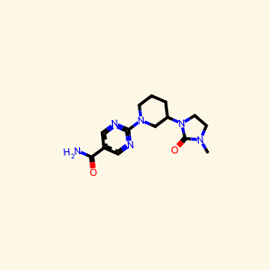 CN1CCN(C2CCCN(c3ncc(C(N)=O)cn3)C2)C1=O